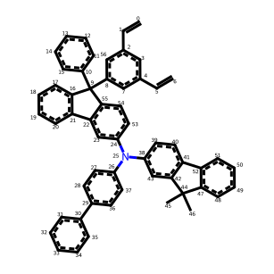 C=Cc1cc(C=C)cc(C2(c3ccccc3)c3ccccc3-c3cc(N(c4ccc(-c5ccccc5)cc4)c4ccc5c(c4)C(C)(C)c4ccccc4-5)ccc32)c1